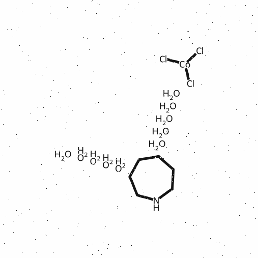 C1CCCNCC1.O.O.O.O.O.O.O.O.O.O.[Cl][Co]([Cl])[Cl]